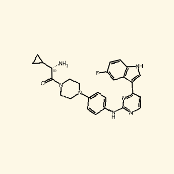 N[C@H](C(=O)N1CCN(c2ccc(Nc3nccc(-c4c[nH]c5ccc(F)cc45)n3)cc2)CC1)C1CC1